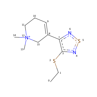 CCSc1nsnc1C1=CCC[N+](C)(C)C1